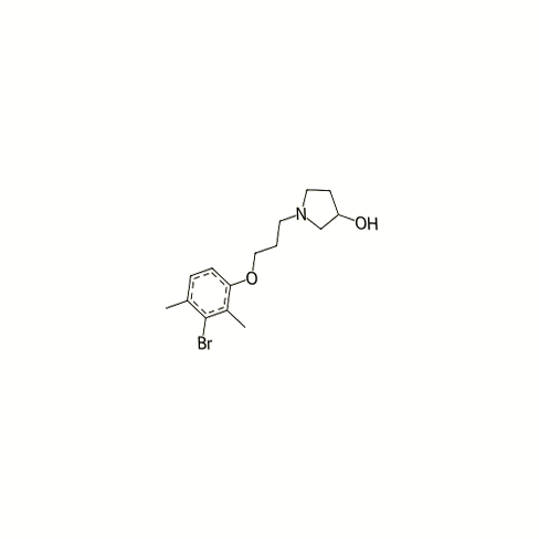 Cc1ccc(OCCCN2CCC(O)C2)c(C)c1Br